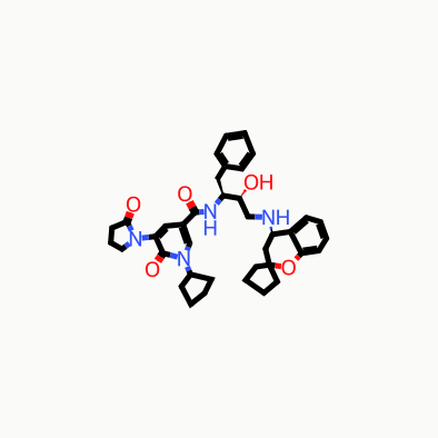 O=C(N[C@@H](Cc1ccccc1)[C@H](O)CN[C@H]1CC2(CCCC2)Oc2ccccc21)c1cc(N2CCCC2=O)c(=O)n(C2CCCC2)c1